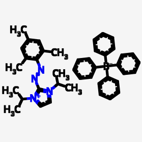 Cc1cc(C)c(N=Nc2n(C(C)C)cc[n+]2C(C)C)c(C)c1.c1ccc([B-](c2ccccc2)(c2ccccc2)c2ccccc2)cc1